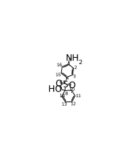 Nc1ccc(S(=O)(=O)C2(O)[CH]C=CC=C2)cc1